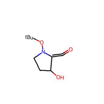 CC(C)(C)ON1CCC(O)C1=C=O